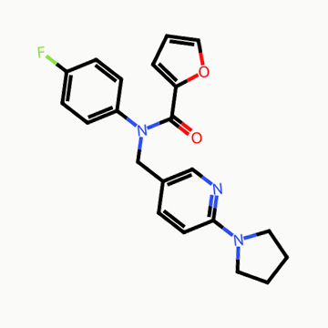 O=C(c1ccco1)N(Cc1ccc(N2CCCC2)nc1)c1ccc(F)cc1